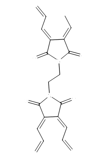 C=C/C=C1/C(=O)N(CCN2C(=O)C(=C/C=C)/C(=C\C=C)C2=O)C(=O)/C1=C/C